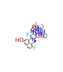 C#Cc1c(F)ccc2cc(O)cc(-c3ncc4c(N5CC6CCC(C5)N6C(=O)Nc5ncccn5)nc(O[C@@H](C)[C@@H]5CCCN5C)nc4c3F)c12